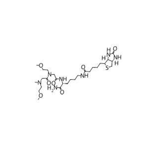 COCCN(C)CC(=O)N(CCOC)CC(=O)N[C@@H](CCCCNC(=O)CCCCC1SC[C@@H]2NC(=O)N[C@H]12)C(N)=O